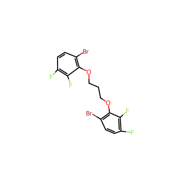 Fc1ccc(Br)c(OCCCOc2c(Br)ccc(F)c2F)c1F